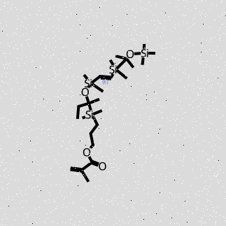 C=C(C)C(=O)OCCC[Si](C)(C)C(C)(CC)O[Si](C)(C)/C=C/[Si](C)(C)C(C)(C)O[Si](C)(C)C